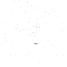 O=C(OCC1(F)OC(F)(F)OC1O)C(F)(F)F